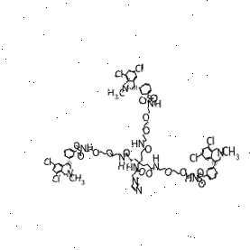 CN1Cc2c(Cl)cc(Cl)cc2[C@H](c2cccc(S(=O)(=O)NCCOCCOCCNC(=O)CCC(CCC(=O)NCCOCCOCCNS(=O)(=O)c3cccc([C@@H]4CN(C)Cc5c(Cl)cc(Cl)cc54)c3)(CCC(=O)NCCOCCOCCNS(=O)(=O)c3cccc([C@@H]4CN(C)Cc5c(Cl)cc(Cl)cc54)c3)NC(=O)Cn3ccnc3)c2)C1